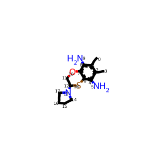 Cc1c(C)c(N)c2c(c1N)OCC(N1CCCC1)S2